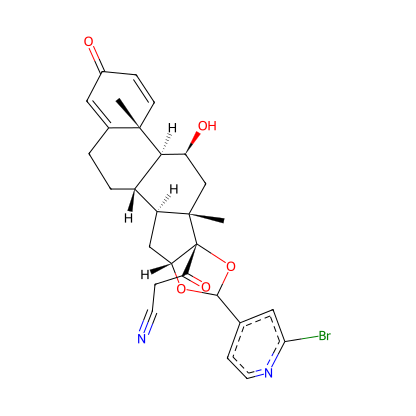 C[C@]12C=CC(=O)C=C1CC[C@@H]1[C@@H]2[C@@H](O)C[C@@]2(C)[C@H]1C[C@H]1OC(c3ccnc(Br)c3)O[C@]12C(=O)CC#N